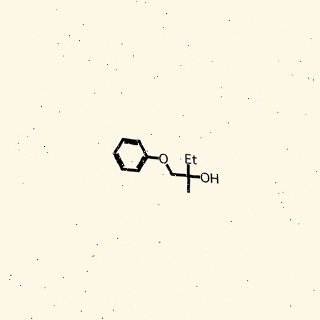 [CH2]CC(C)(O)COc1ccccc1